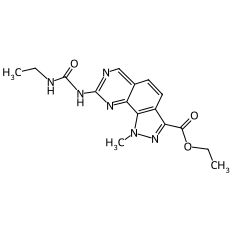 CCNC(=O)Nc1ncc2ccc3c(C(=O)OCC)nn(C)c3c2n1